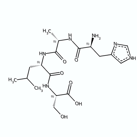 CC(C)C[C@H](NC(=O)[C@H](C)NC(=O)[C@@H](N)Cc1c[nH]cn1)C(=O)N[C@@H](CO)C(=O)O